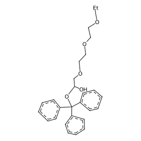 CCOCCOCCOCC(O)OC(c1ccccc1)(c1ccccc1)c1ccccc1